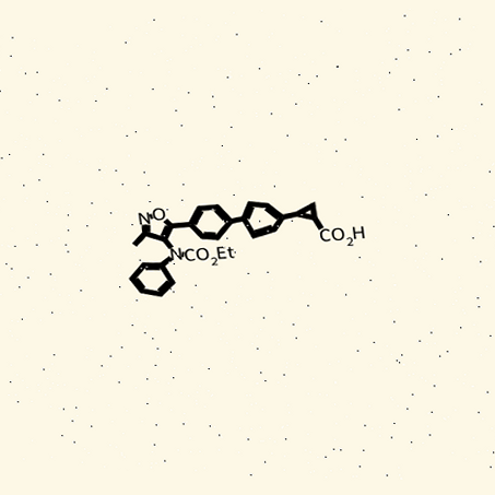 CCOC(=O)N(c1ccccc1)c1c(C)noc1-c1ccc(-c2ccc(C3CC3C(=O)O)cc2)cc1